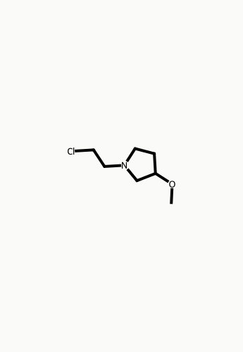 COC1CCN(CCCl)C1